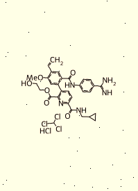 C=Cc1cc(C(=O)Nc2ccc(C(=N)N)cc2)c(-c2ccc(C(=O)NCC3CC3)nc2C(=O)OCCO)cc1OC.Cl.ClC(Cl)Cl